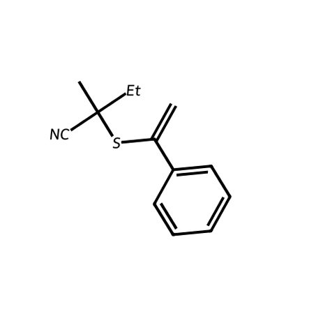 C=C(SC(C)(C#N)CC)c1ccccc1